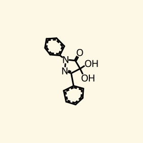 O=C1N(c2ccccc2)N=C(c2ccccc2)C1(O)O